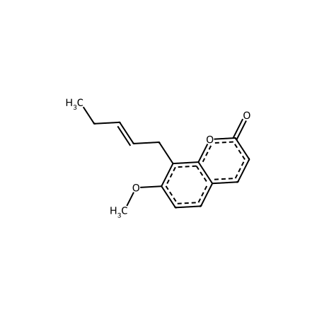 CCC=CCc1c(OC)ccc2ccc(=O)oc12